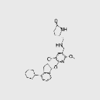 COc1nc(O[C@H]2CCc3c(C4CCCCC4)cccc32)c(Cl)cc1CNC[C@@H]1CCC(=O)N1